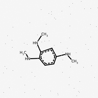 CNc1ccc(NC)c(NC)c1